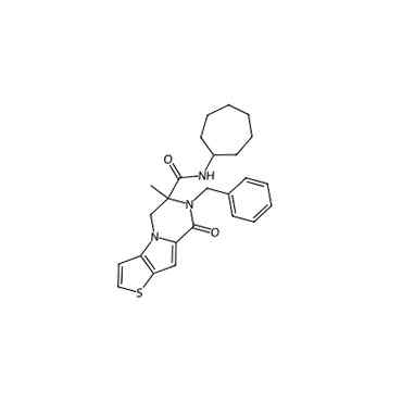 CC1(C(=O)NC2CCCCCC2)Cn2c(cc3sccc32)C(=O)N1Cc1ccccc1